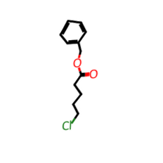 O=C(CCCCCl)OCc1ccccc1